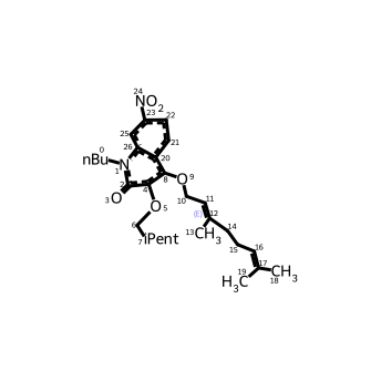 CCCCn1c(=O)c(OCC(C)CCC)c(OC/C=C(\C)CCC=C(C)C)c2ccc([N+](=O)[O-])cc21